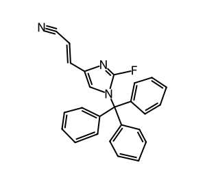 N#CC=Cc1cn(C(c2ccccc2)(c2ccccc2)c2ccccc2)c(F)n1